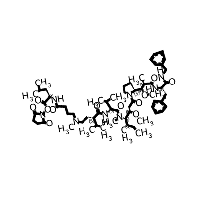 CC[C@H](C)[C@@H]([C@@H](CC(=O)N1CCC[C@H]1[C@H](OC)[C@@H](C)C(=O)N[C@@H](Cc1ccccc1)C(=O)NCc1ccccc1)OC)N(C)C(=O)[C@@H](NC(=O)[C@@H](CCN(C)CCCC(=O)N[C@H](CC(C)C)C(=O)ON1C(=O)CCC1=O)C(C)C)C(C)C